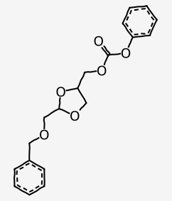 O=C(OCC1COC(COCc2ccccc2)O1)Oc1ccccc1